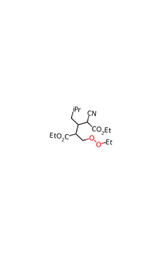 CCOOCC(C(=O)OCC)C(CC(C)C)C(C#N)C(=O)OCC